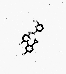 Nc1cccc(SNc2ccc(Cl)c(-c3cc(Cl)ccc3C3CC3)n2)n1